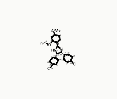 CCCOc1cc(OC)ccc1C1=N[C@H](c2ccc(Cl)cc2)[C@H](c2ccc(Cl)cc2)N1